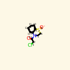 O=C(CCl)N1CC[S+]([O-])c2ccccc21